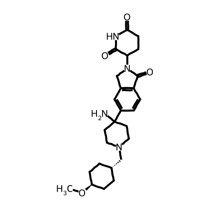 CO[C@H]1CC[C@H](CN2CCC(N)(c3ccc4c(c3)CN(C3CCC(=O)NC3=O)C4=O)CC2)CC1